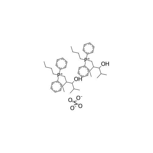 CCCC[P+](CC(CC)C(O)C(C)C)(c1ccccc1)c1ccccc1.CCCC[P+](CC(CC)C(O)C(C)C)(c1ccccc1)c1ccccc1.O=S(=O)([O-])[O-]